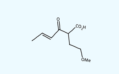 C/C=C/C(=O)C(CCOC)C(=O)O